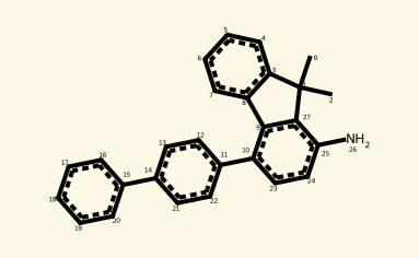 CC1(C)c2ccccc2-c2c(-c3ccc(-c4ccccc4)cc3)ccc(N)c21